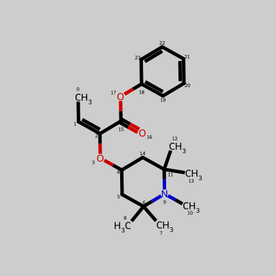 CC=C(OC1CC(C)(C)N(C)C(C)(C)C1)C(=O)Oc1ccccc1